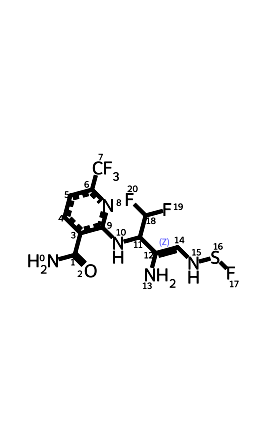 NC(=O)c1ccc(C(F)(F)F)nc1NC(/C(N)=C/NSF)C(F)F